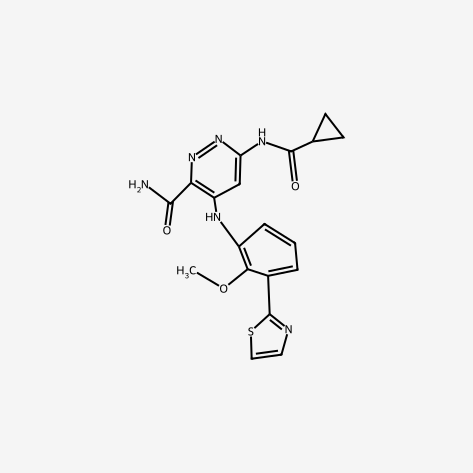 COc1c(Nc2cc(NC(=O)C3CC3)nnc2C(N)=O)cccc1-c1nccs1